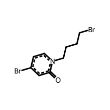 O=c1cc(Br)ccn1CCCCBr